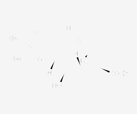 CCOC(=O)[C@@H]1[C@H]2O[C@@H]3CO[Si](C(C)(C)C)(C(C)(C)C)O[C@H]3[C@H](O)[C@H]21